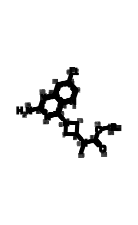 CCc1cnc2c(N3CC(N(C)C(=O)OC(C)(C)C)C3)nc(N)nc2c1